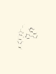 CCCCc1nc(Cc2ccc(CC(=O)O)cc2)n(Cc2ccc(-c3ccccc3-c3nnn[nH]3)cc2)n1